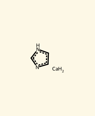 [CaH2].c1c[nH]cn1